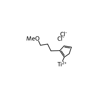 COCCCC1=[C]([Ti+2])CC=C1.[Cl-].[Cl-]